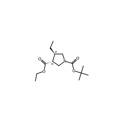 CCOC(=O)[C@H]1CN(C(=O)OC(C)(C)C)C[C@@H]1CC